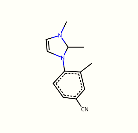 Cc1cc(C#N)ccc1N1C=CN(C)C1C